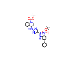 CC(C)(C)OC(=O)Nc1ccc(-c2ccccc2)cc1NC(=O)c1cnc(NC2CCN(C(=O)OC(C)(C)C)c3ccccc32)nc1